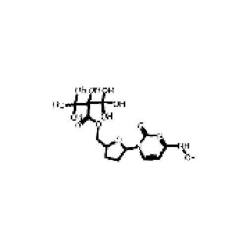 O=C(OCC1CCC(n2ccc(NO)nc2=O)O1)C(O)(C(O)(O)O)C(O)(O)O